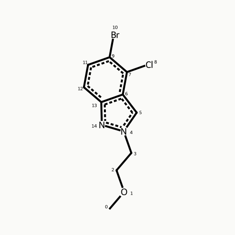 COCCn1cc2c(Cl)c(Br)ccc2n1